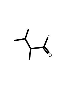 CC(C)C(C)C(=O)F